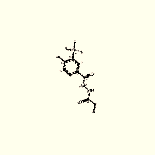 CCC(=O)NNC(=O)c1ccc(C)[c]([Sn]([CH3])([CH3])[CH3])c1